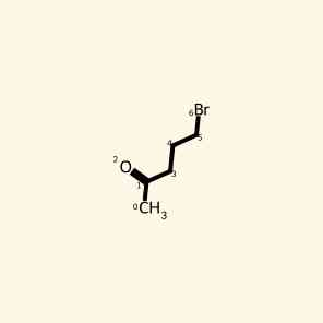 CC(=O)CCCBr